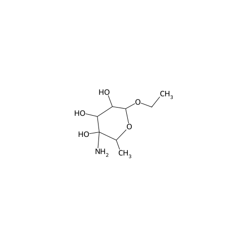 CCOC1OC(C)C(N)(O)C(O)C1O